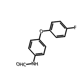 O=CNc1ccc(Oc2ccc(F)cc2)cc1